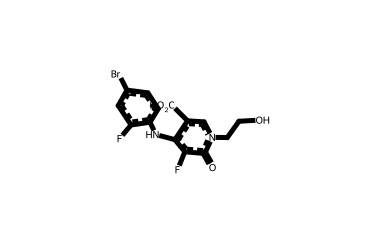 O=C(O)c1cn(CCO)c(=O)c(F)c1Nc1ccc(Br)cc1F